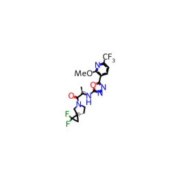 COc1nc(C(F)(F)F)ccc1-c1nnc(N[C@H](C)C(=O)N2CC[C@]3(C2)CC3(F)F)o1